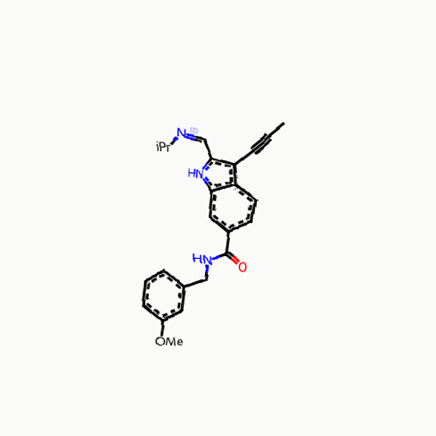 CC#Cc1c(/C=N\C(C)C)[nH]c2cc(C(=O)NCc3cccc(OC)c3)ccc12